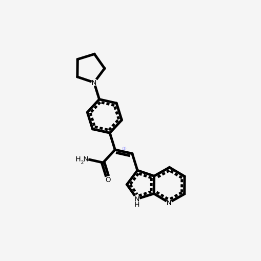 NC(=O)/C(=C\c1c[nH]c2ncccc12)c1ccc(N2CCCC2)cc1